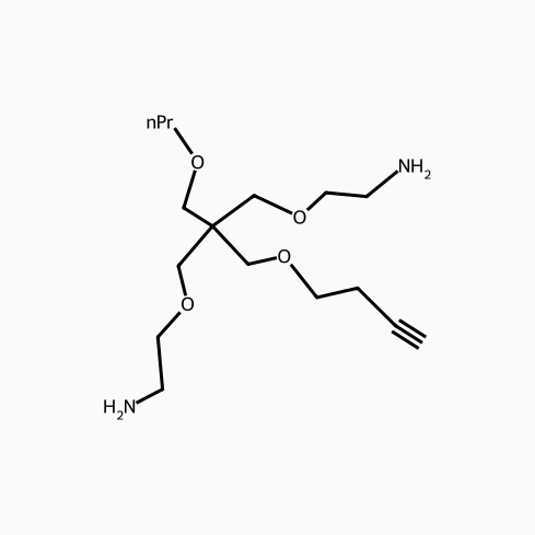 C#CCCOCC(COCCC)(COCCN)COCCN